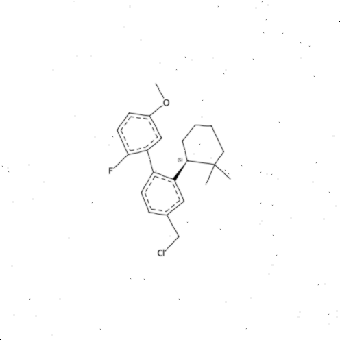 COc1ccc(F)c(-c2ccc(CCl)cc2[C@H]2CCCCC2(C)C)c1